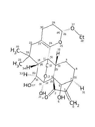 C=C1C(=O)[C@]23C(O)[C@H]1CC[C@H]2[C@@]12CO[C@]3(O)[C@@H](O)[C@@H]1C(C)(C)CC1=C2O[C@@H](OCC)CC1